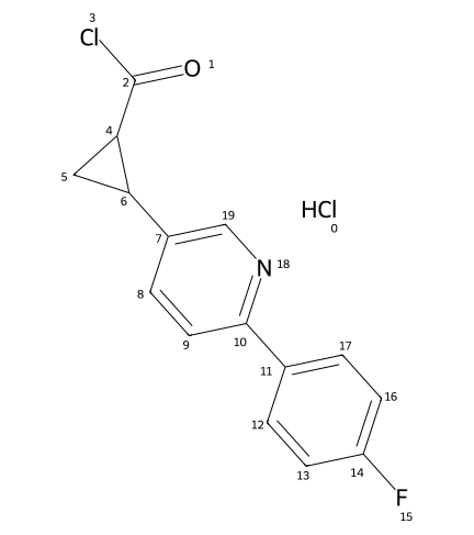 Cl.O=C(Cl)C1CC1c1ccc(-c2ccc(F)cc2)nc1